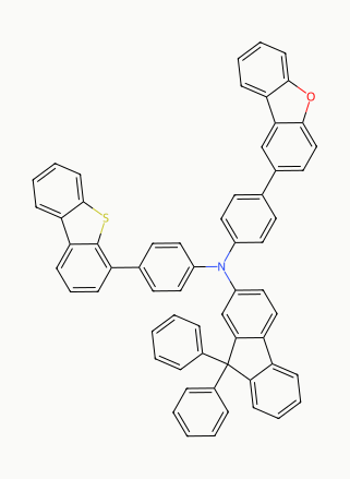 c1ccc(C2(c3ccccc3)c3ccccc3-c3ccc(N(c4ccc(-c5ccc6oc7ccccc7c6c5)cc4)c4ccc(-c5cccc6c5sc5ccccc56)cc4)cc32)cc1